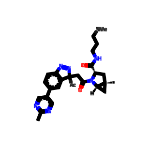 CNCCCNC(=O)[C@@H]1C[C@@]2(C)C[C@H]2N1C(=O)CC1(C(C)=O)N=Nc2ccc(-c3cnc(C)nc3)cc21